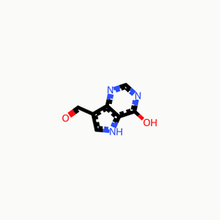 O=Cc1c[nH]c2c(O)ncnc12